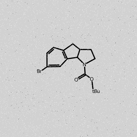 CC(C)(C)OC(=O)N1CCC2Cc3ccc(Br)cc3C21